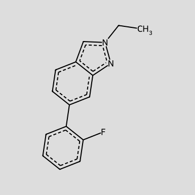 CCn1cc2ccc(-c3ccccc3F)cc2n1